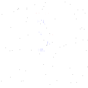 CC#CC#Cc1cnc([C@@H]2CCCN2C(=O)[C@@H](NC(=O)OC)C(C)C)[nH]1